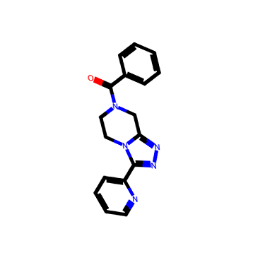 O=C(c1ccccc1)N1CCn2c(nnc2-c2ccccn2)C1